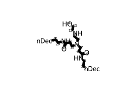 CCCCCCCCCCCCNC(=O)CCN(CCNCCO)CCC(=O)NCCCCCCCCCCCC